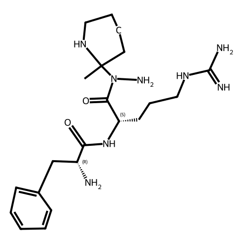 CC1(N(N)C(=O)[C@H](CCCNC(=N)N)NC(=O)[C@H](N)Cc2ccccc2)CCCCN1